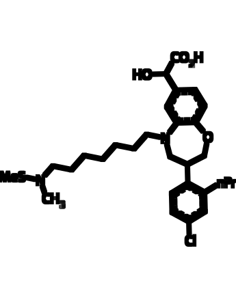 CCCc1cc(Cl)ccc1C1COc2ccc(C(O)C(=O)O)cc2N(CCCCCCCN(C)SC)C1